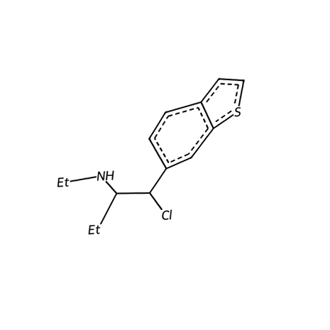 CCNC(CC)C(Cl)c1ccc2ccsc2c1